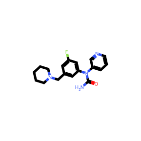 NC(=O)N(c1cccnc1)c1cc(F)cc(CN2CCCCC2)c1